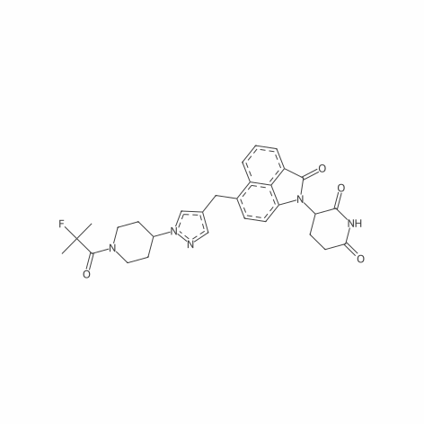 CC(C)(F)C(=O)N1CCC(n2cc(Cc3ccc4c5c(cccc35)C(=O)N4C3CCC(=O)NC3=O)cn2)CC1